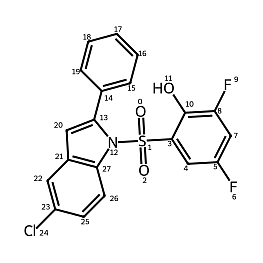 O=S(=O)(c1cc(F)cc(F)c1O)n1c(-c2ccccc2)cc2cc(Cl)ccc21